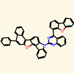 c1ccc(-c2cc3oc4c(ccc5c4c4ccccc4n5-c4nc(-c5cccc6c5oc5ccccc56)c5ccccc5n4)c3c3ccccc23)cc1